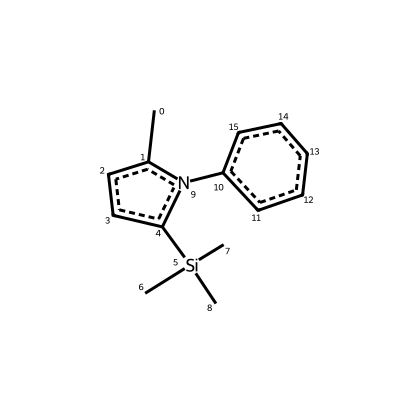 Cc1ccc([Si](C)(C)C)n1-c1ccccc1